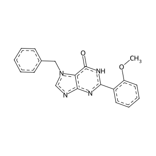 COc1ccccc1-c1nc2ncn(Cc3ccccc3)c2c(=O)[nH]1